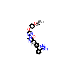 CCCCc1nc(C)n(-c2ncc(OC3CCC(O[Si](C)(C)C(C)(C)C)CC3)cn2)c(=O)c1Cc1ccc(-c2ccccc2-c2nnn[nH]2)cc1